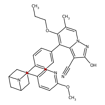 CCCOc1c(C)cn2nc(O)c(C#N)c2c1-c1ccc(N2CC3CC(C2)N3Cc2ccc(OC)nc2)nc1